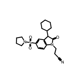 N#CCCN1C(=O)C(C2CCCCC2)c2cc(S(=O)(=O)N3CCCC3)ccc21